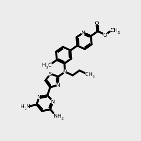 CCCN(c1nc(-c2nc(N)cc(N)n2)cs1)c1cc(-c2ccc(C(=O)OC)nc2)ccc1C